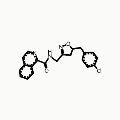 O=C(NCC1=NOC(Cc2ccc(Cl)cc2)C1)c1nccc2ccccc12